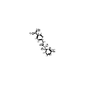 O=S(=O)(NCc1ccc(B(O)O)cc1)c1cccc(Cl)c1